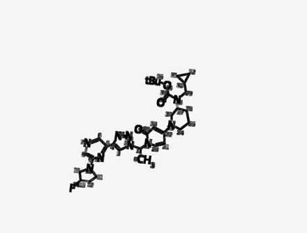 CC(n1cc(-c2cncc(N3CC[C@@H](F)C3)n2)nn1)n1ccc(N2CCC[C@@H](N(CC3CC3)C(=O)OC(C)(C)C)C2)cc1=O